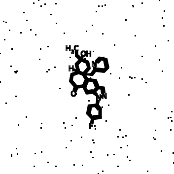 CC[C@]1(O)CC[C@]2(Cc3ccccn3)c3cc4cnn(-c5ccc(F)cc5)c4cc3C(=O)CC[C@@H]2C1